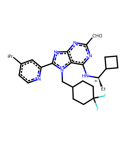 CC[C@@H](Nc1nc(C=O)nc2nc(-c3cc(C(C)C)ccn3)n(CC3CCC(F)(F)CC3)c12)C1CCC1